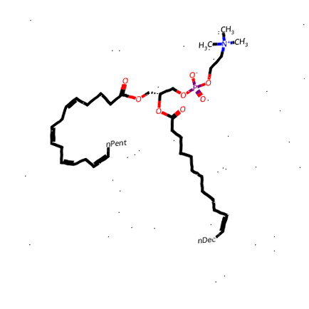 CCCCC/C=C\C/C=C\C/C=C\C/C=C\CCCC(=O)OC[C@H](COP(=O)([O-])OCC[N+](C)(C)C)OC(=O)CCCCCCCCC/C=C\CCCCCCCCCC